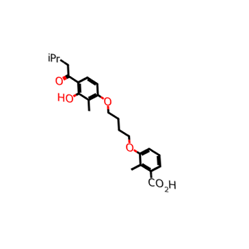 Cc1c(OCCCCOc2ccc(C(=O)CC(C)C)c(O)c2C)cccc1C(=O)O